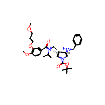 COCCCOc1cc(C(=O)N(C[C@H]2CN(C(=O)OC(C)(C)C)C[C@@H]2NCc2ccccc2)C(C)C)ccc1OC